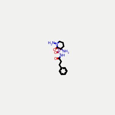 NN1CCC[C@](N)([PH](=O)NC(=O)CCc2ccccc2)C1=O